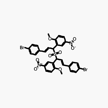 COc1ccc([N+](=O)[O-])cc1C(C=Cc1ccc(Br)cc1)S(=O)(=O)C(C=Cc1ccc(Br)cc1)c1cc([N+](=O)[O-])ccc1OC